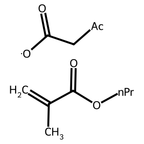 C=C(C)C(=O)OCCC.CC(=O)CC([O])=O